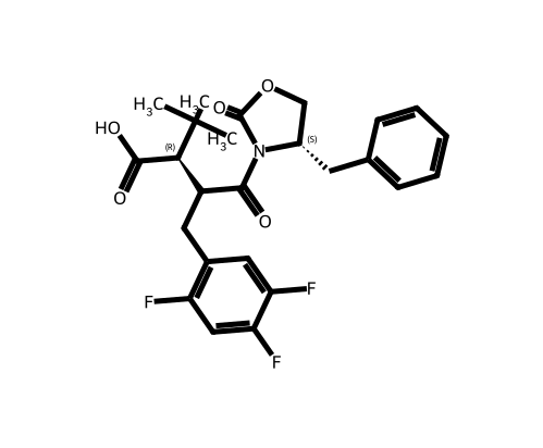 CC(C)(C)[C@H](C(=O)O)C(Cc1cc(F)c(F)cc1F)C(=O)N1C(=O)OC[C@@H]1Cc1ccccc1